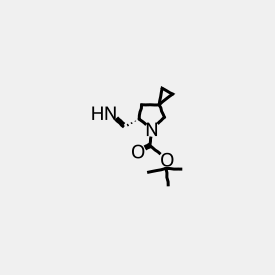 CC(C)(C)OC(=O)N1CC2(CC2)C[C@H]1C=N